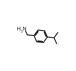 [CH2]C(C)c1ccc(CN)cc1